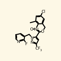 Cc1cc(Cl)cc2c1[N+]([O-])=C(c1cc(C(F)(F)F)nn1Cc1cccnc1F)OC2